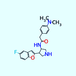 CN(C)c1ccc(CC(=O)NC2CNCC2c2cc3cc(F)ccc3o2)cc1